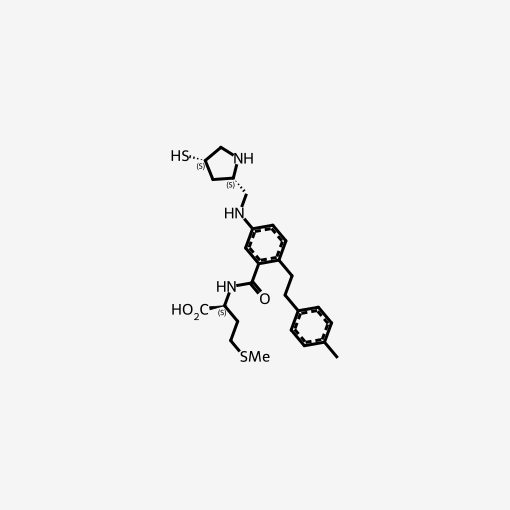 CSCC[C@H](NC(=O)c1cc(NC[C@@H]2C[C@H](S)CN2)ccc1CCc1ccc(C)cc1)C(=O)O